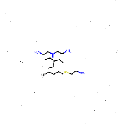 BCCCC.CCB(CC)CC.NCCNCCN.NCCS